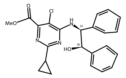 COC(=O)c1nc(C2CC2)nc(N[C@@H](c2ccccc2)[C@H](O)c2ccccc2)c1Cl